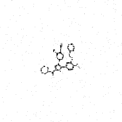 COc1ccc(-c2sc(C(=O)N3CCCCC3)cc2-c2ccc(C#N)c(F)c2)cc1OCc1ccccc1